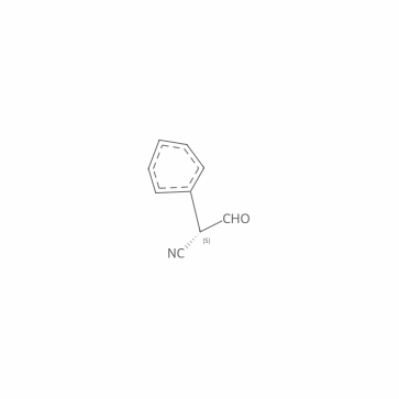 N#C[C@@H](C=O)c1ccccc1